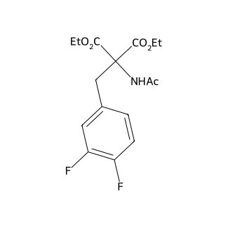 CCOC(=O)C(Cc1ccc(F)c(F)c1)(NC(C)=O)C(=O)OCC